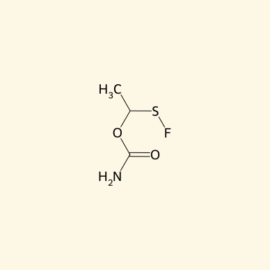 CC(OC(N)=O)SF